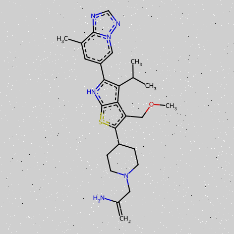 C=C(N)CN1CCC(c2sc3[nH]c(-c4cc(C)c5ncnn5c4)c(C(C)C)c3c2COC)CC1